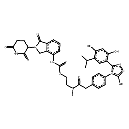 CC(C)c1cc(-c2nnc(O)n2-c2ccc(CC(=O)N(C)CCOC(=O)Nc3cccc4c3CN(C3CCC(=O)NC3=O)C4=O)cc2)c(O)cc1O